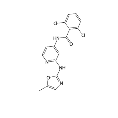 Cc1cnc(Nc2cc(NC(=O)c3c(Cl)cccc3Cl)ccn2)o1